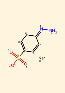 NN=C1C=CC(S(=O)(=O)[O-])=CC1.[Na+]